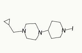 IN1CCC(N2CCN(CC3CC3)CC2)CC1